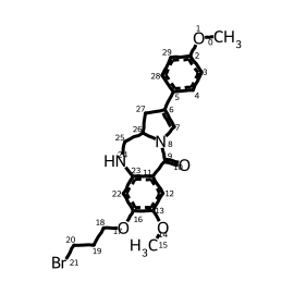 COc1ccc(C2=CN3C(=O)c4cc(OC)c(OCCCBr)cc4NCC3C2)cc1